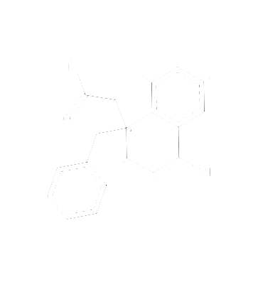 O=C(O)CC1(Cc2ccccc2)CCC(Cl)c2ccccc21